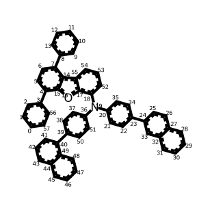 c1ccc(-c2ccc(-c3ccccc3)c3c2oc2c(N(c4ccc(-c5ccc6ccccc6c5)cc4)c4ccc(-c5cccc6ccccc56)cc4)cccc23)cc1